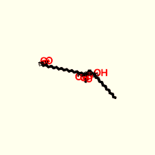 CCCCCCCCCCCC[C@H](O)[C@H]1CC[C@H]([C@@H](C[C@H](O)CCCCCCCCCCCCC2=C[C@H](C)OC2=O)OC(C)=O)O1